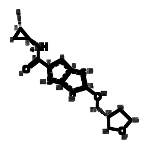 C[C@H]1C[C@@H]1NC(=O)c1cc2sc(OC[C@@H]3CCOC3)nc2s1